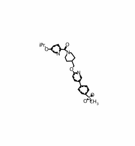 CC(C)Oc1ccc(C(=O)N2CCC(COc3ccc(-c4ccc(S(C)(=O)=O)cc4)cn3)CC2)nc1